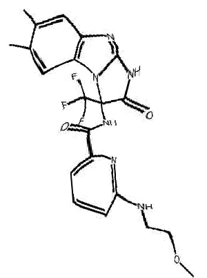 COCCNc1cccc(C(=O)NC2(C(F)(F)F)C(=O)Nc3nc4cc(C)c(C)cc4n32)n1